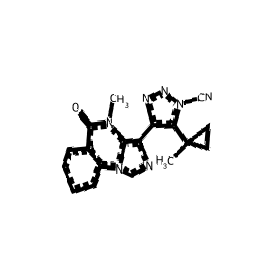 Cn1c(=O)c2ccccc2n2cnc(-c3nnn(C#N)c3C3(C)CC3)c12